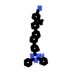 CC1(C)c2cc(C#N)ccc2-c2ccc(-c3ccc4cc(-c5ccc(C6=NC(c7ccccc7)=NC(c7ccccc7)N6)cc5)ccc4c3)cc21